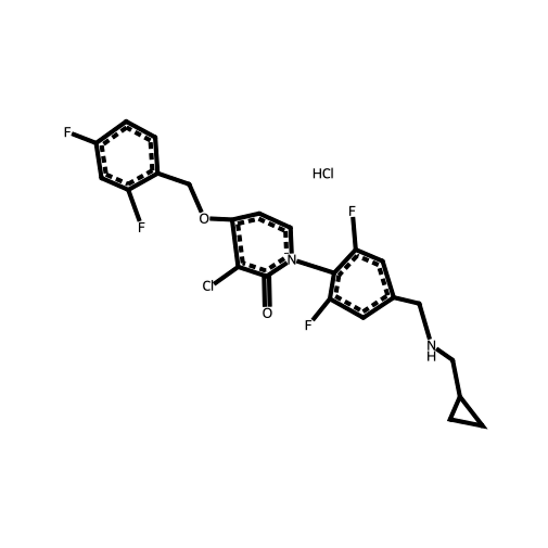 Cl.O=c1c(Cl)c(OCc2ccc(F)cc2F)ccn1-c1c(F)cc(CNCC2CC2)cc1F